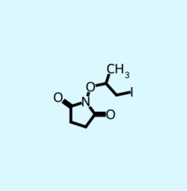 CC(CI)ON1C(=O)CCC1=O